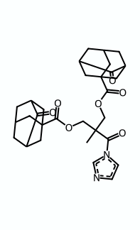 CC(COC(=O)C12CC3CC(C1)C(=O)C(C3)C2)(COC(=O)C12CC3CC(C1)C(=O)C(C3)C2)C(=O)n1ccnc1